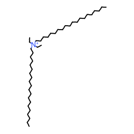 CCCCCCCCCCCCCCCCCCCC[N+](CC)(CC)CCCCCCCCCCCCCCCCCCCC